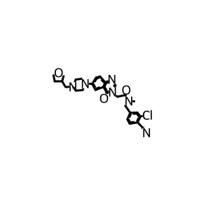 CN(Cc1ccc(C#N)c(Cl)c1)C(=O)Cn1cnc2ccc(N3CCN(CC4CCOC4)CC3)cc2c1=O